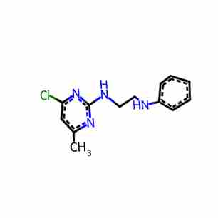 Cc1cc(Cl)nc(NCCNc2ccccc2)n1